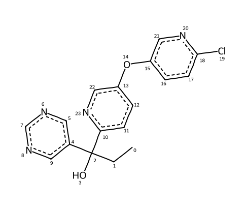 CCC(O)(c1cncnc1)c1ccc(Oc2ccc(Cl)nc2)cn1